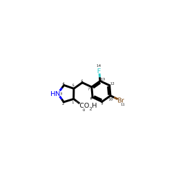 O=C(O)C1CNCC1Cc1ccc(Br)cc1F